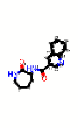 O=C(NC1CCCCNC1=O)c1cnc2ccccc2c1